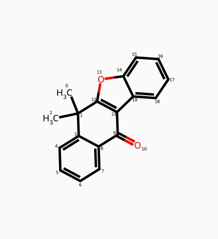 CC1(C)c2ccccc2C(=O)c2c1oc1ccccc21